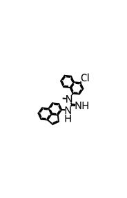 CN(C(=N)Nc1ccc2cccc3c2c1C=C3)c1ccc(Cl)c2ccccc12